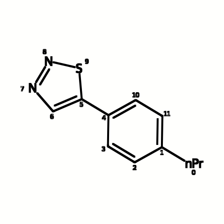 CCCc1ccc(-c2cnns2)cc1